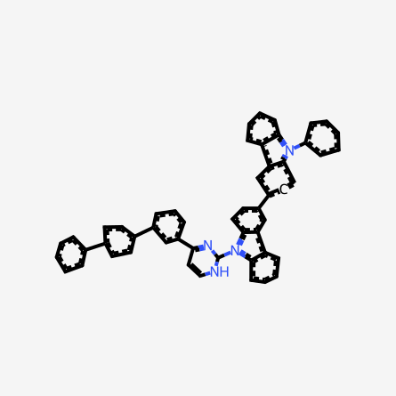 C1=CC(c2cccc(-c3ccc(-c4ccccc4)cc3)c2)=NC(n2c3ccccc3c3cc(-c4ccc5c(c4)c4ccccc4n5-c4ccccc4)ccc32)N1